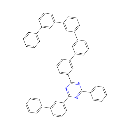 c1ccc(-c2cccc(-c3cccc(-c4cccc(-c5cccc(-c6nc(-c7ccccc7)nc(-c7cccc(-c8ccccc8)c7)n6)c5)c4)c3)c2)cc1